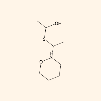 CC(O)SC(C)[SiH]1CCCCO1